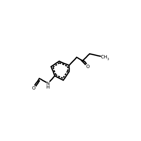 CCC(=O)Cc1ccc(NC=O)cc1